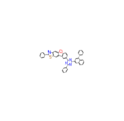 c1ccc(-c2nc(-c3cc(-c4ccccc4)c4ccccc4c3)nc(-c3ccc4oc5cc6nc(-c7ccccc7)sc6cc5c4c3)n2)cc1